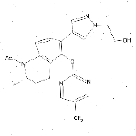 CC(=O)N1c2ccc(-c3cnn(CCO)c3)c(Oc3ncc(C(F)(F)F)cn3)c2CC[C@@H]1C